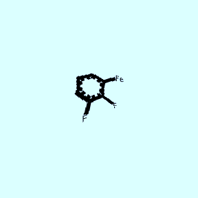 Fc1ccc[c]([Fe])c1F